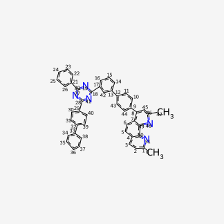 Cc1ccc2ccc3c(-c4ccc(-c5cccc(-c6nc(-c7ccccc7)nc(-c7ccc(-c8ccccc8)cc7)n6)c5)cc4)cc(C)nc3c2n1